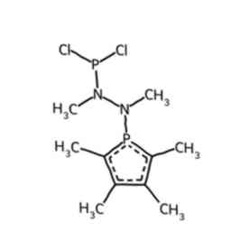 Cc1c(C)c(C)p(N(C)N(C)P(Cl)Cl)c1C